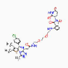 Cc1sc2c(c1C)C(c1ccc(Cl)cc1)=N[C@@H](CC(=O)NCCOCCOCCNc1cccc3c1C(=O)N(C1CCC(=O)NC1=O)C3=O)c1nnc(C)n1-2